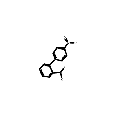 O=[N+]([O-])c1ccc(-c2ccccc2C(Cl)Cl)cc1